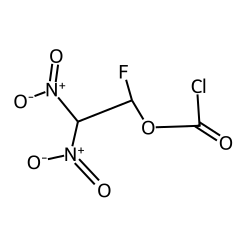 O=C(Cl)OC(F)C([N+](=O)[O-])[N+](=O)[O-]